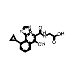 O=C(O)CNC(=O)c1c(O)c2cccc(C3CC3)c2c2ncnn12